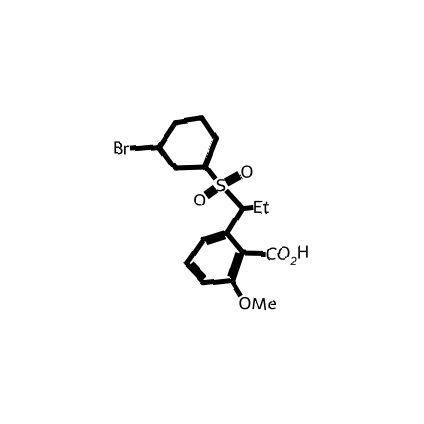 CCC(c1cccc(OC)c1C(=O)O)S(=O)(=O)C1CCCC(Br)C1